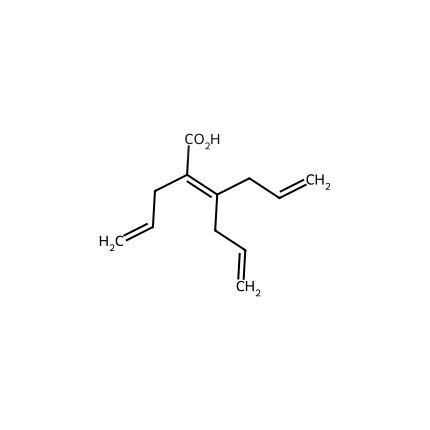 C=CCC(CC=C)=C(CC=C)C(=O)O